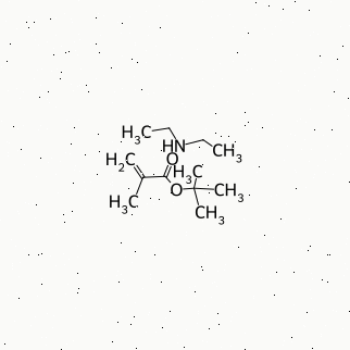 C=C(C)C(=O)OC(C)(C)C.CCNCC